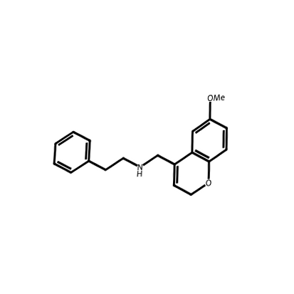 COc1ccc2c(c1)C(CNCCc1ccccc1)=CCO2